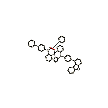 c1ccc(-c2ccc(N3c4ccccc4C4(c5ccccc5N(c5ccc(-c6cccc7oc8ccccc8c67)cc5)c5ccccc54)c4cc(-c5ccccc5)ccc43)cc2)cc1